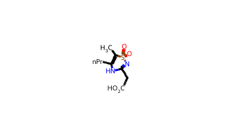 CCCC1=C(C)S(=O)(=O)N=C(CC(=O)O)N1